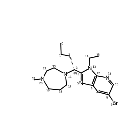 CCC[C@H](c1nc2cc(Br)cnc2n1CC)N1CCCN(C)CC1